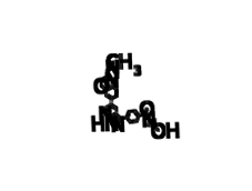 CN1CCN2c3ccc(-c4cnc5[nH]nc(-c6ccc(C(=O)N7CC(O)C7)cc6)c5c4)cc3OCC2C1